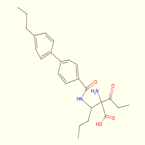 CCCc1ccc(-c2ccc(C(=O)NC(CCC)C(N)(C(=O)O)C(=O)CC)cc2)cc1